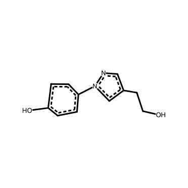 OCCc1cnn(-c2ccc(O)cc2)c1